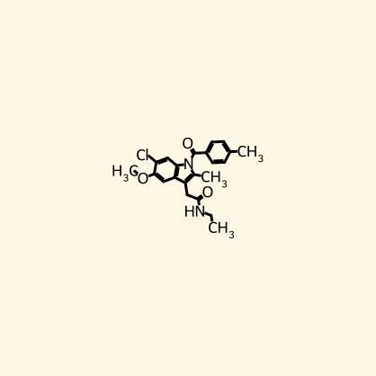 CCNC(=O)Cc1c(C)n(C(=O)c2ccc(C)cc2)c2cc(Cl)c(OC)cc12